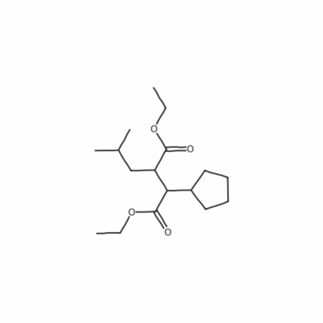 CCOC(=O)C(CC(C)C)C(C(=O)OCC)C1CCCC1